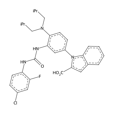 CC(C)CN(CC(C)C)c1ccc(-n2c(C(=O)O)cc3ccccc32)cc1NC(=O)Nc1ccc(Cl)cc1F